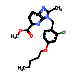 CCCCCOc1ccc(Cn2c(C)nc3ccc(C(=O)OC)nc32)c(Cl)c1